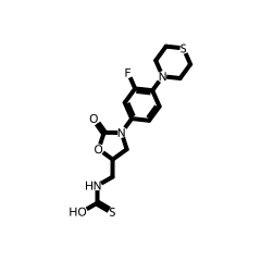 O=C1OC(CNC(O)=S)CN1c1ccc(N2CCSCC2)c(F)c1